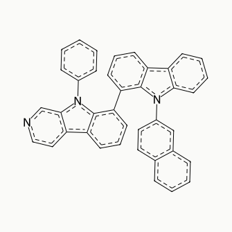 c1ccc(-n2c3cnccc3c3cccc(-c4cccc5c6ccccc6n(-c6ccc7ccccc7c6)c45)c32)cc1